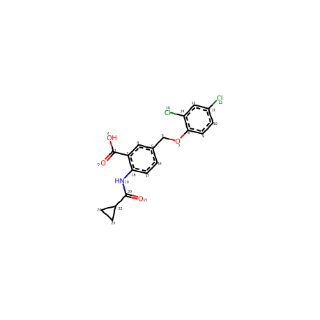 O=C(O)c1cc(COc2ccc(Cl)cc2Cl)ccc1NC(=O)C1CC1